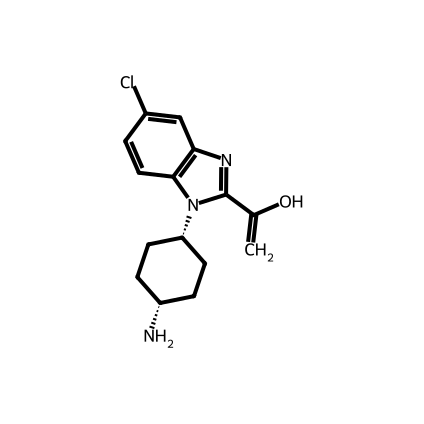 C=C(O)c1nc2cc(Cl)ccc2n1[C@H]1CC[C@@H](N)CC1